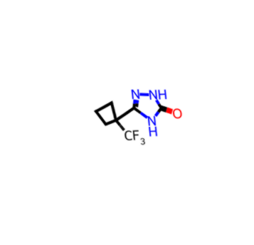 O=c1[nH]nc(C2(C(F)(F)F)CCC2)[nH]1